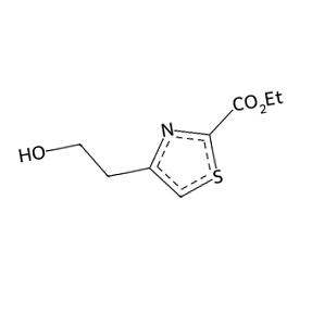 CCOC(=O)c1nc(CCO)cs1